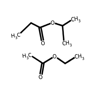 CCC(=O)OC(C)C.CCOC(C)=O